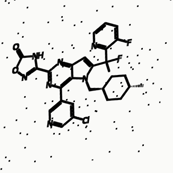 CC(F)(c1ncccc1F)c1cc2nc(-c3noc(=O)[nH]3)nc(-c3cncc(Cl)c3)c2n1C[C@H]1CC[C@H](C)CC1